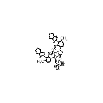 CCO[Si](CCCc1ccc(C)c(-c2nc3ccccc3s2)c1SSSSSc1c(CCC[Si](OCC)(OCC)OCC)ccc(C)c1-c1nc2ccccc2s1)(OCC)OCC